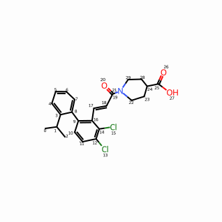 CC(C)c1ccccc1-c1c[c]c(Cl)c(Cl)c1/C=C/C(=O)N1CCC(C(=O)O)CC1